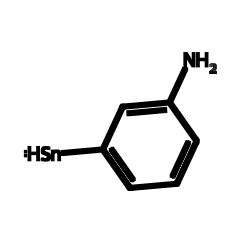 Nc1ccc[c]([SnH])c1